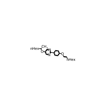 CCCCCCC=COc1ccc(-c2ncc(OC(C)CCCCCC)cn2)cc1